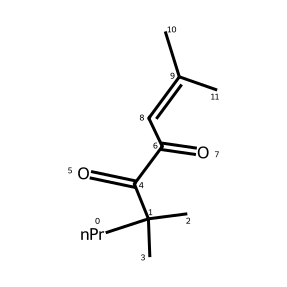 CCCC(C)(C)C(=O)C(=O)C=C(C)C